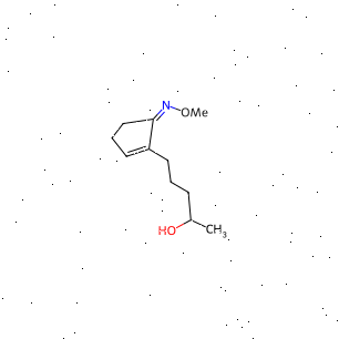 CON=C1CCC=C1CCCC(C)O